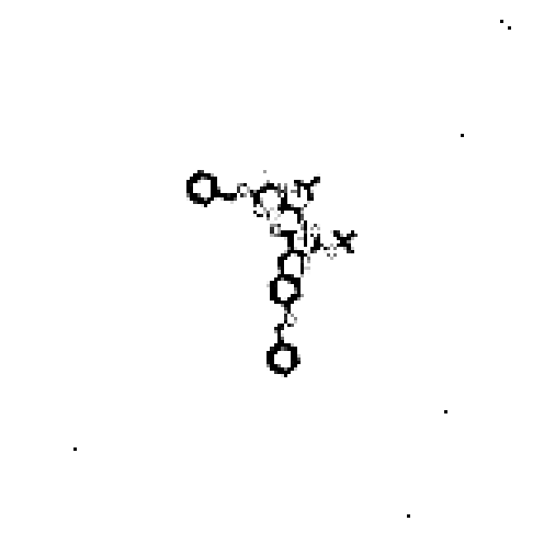 CC(C)C[C@H](NC(=O)C(Cc1ccc(OCc2ccccc2)cc1)NC(=O)OC(C)(C)C)C(=O)N[C@@H](C)C(=O)OCc1ccccc1